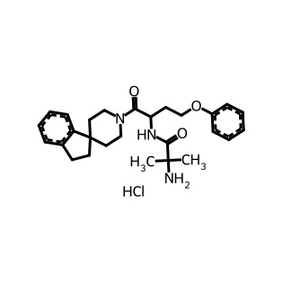 CC(C)(N)C(=O)NC(CCOc1ccccc1)C(=O)N1CCC2(CCc3ccccc32)CC1.Cl